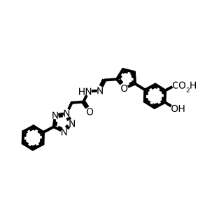 O=C(Cn1nnc(-c2ccccc2)n1)N/N=C/c1ccc(-c2ccc(O)c(C(=O)O)c2)o1